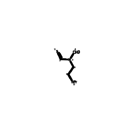 CCCCCN(C=O)C=S